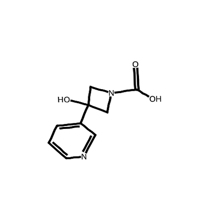 O=C(O)N1CC(O)(c2cccnc2)C1